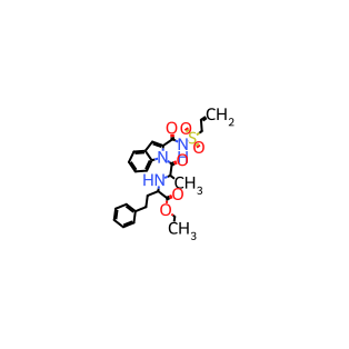 C=CCS(=O)(=O)NC(=O)c1cc2ccccc2n1C(=O)C(C)NC(CCc1ccccc1)C(=O)OCC